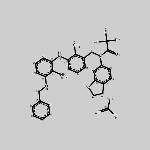 Cc1c(CN(C(=O)C(F)(F)F)c2ccc3c(c2)OC[C@H]3CC(=O)O)cccc1Nc1cccc(OCc2ccccc2)c1N